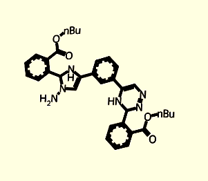 CCCCOC(=O)c1ccccc1C1N=NC=C(c2cccc(C3=CN(N)C(c4ccccc4C(=O)OCCCC)N3)c2)N1